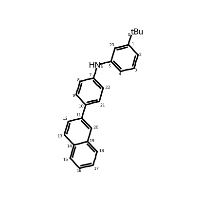 CC(C)(C)c1cccc(Nc2ccc(-c3ccc4ccccc4c3)cc2)c1